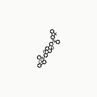 CC1(C)c2ccccc2-c2ccc(N(C3=CC=C4c5ccc6c7c(ccc(c57)OC4C3)-c3ccc(N(c4cccc5c4oc4ccccc45)C4C=CC=CC4)cc3O6)c3ccccc3)cc21